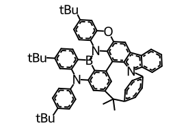 CC(C)(C)c1ccc(N2c3cc(C(C)(C)C)ccc3B3c4c5cc(cc42)C(C)(C)c2ccc(cc2)-n2c4ccccc4c4cc6c(c-5c42)N3c2ccc(C(C)(C)C)cc2O6)cc1